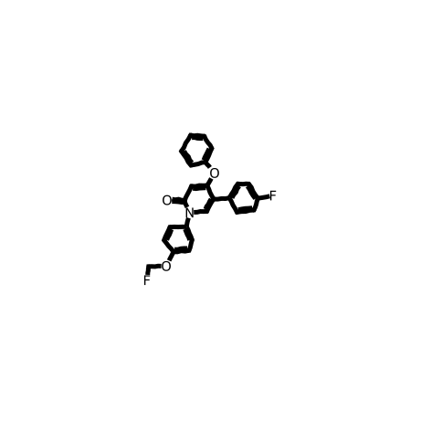 O=c1cc(Oc2ccccc2)c(-c2ccc(F)cc2)cn1-c1ccc(OCF)cc1